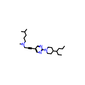 CCCC(CC)C1CCN(c2ncc(C#CCN(C)CCCC(C)C)cn2)CC1